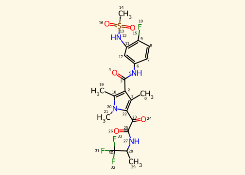 Cc1c(C(=O)Nc2ccc(F)c(NS(C)(=O)=O)c2)c(C)n(C)c1C(=O)C(=O)NC(C)C(F)(F)F